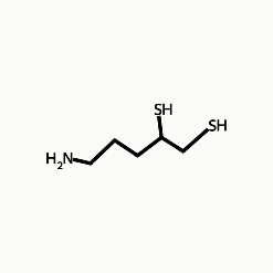 NCCCC(S)CS